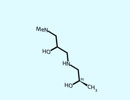 CNCC(O)CNC[C@@H](C)O